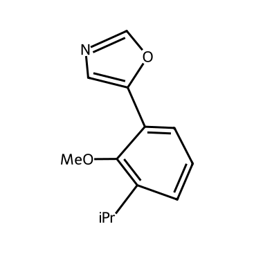 COc1c(-c2cnco2)cccc1C(C)C